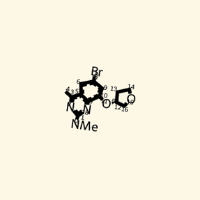 CNc1nc(C)c2cc(Br)cc(O[C@@H]3CCOC3)c2n1